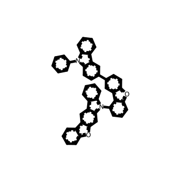 c1ccc(-n2c3ccccc3c3cc(-c4ccc5oc6cccc(-n7c8ccccc8c8cc9c(cc87)oc7ccccc79)c6c5c4)ccc32)cc1